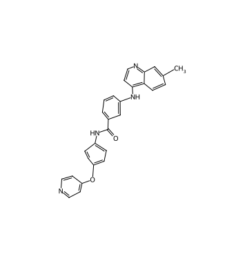 Cc1ccc2c(Nc3cccc(C(=O)Nc4ccc(Oc5ccncc5)cc4)c3)ccnc2c1